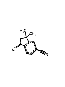 CC1(C)CC(=O)c2ccc(C#N)cc21